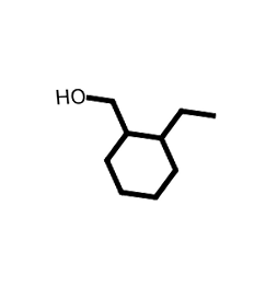 CCC1CCCCC1CO